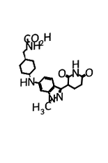 Cn1nc(C2CCC(=O)NC2=O)c2ccc(N[C@H]3CC[C@H](CNC(=O)O)CC3)cc21